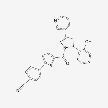 N#Cc1ccc(-c2ccc(C(=O)N3N=C(c4cccnc4)CC3c3ccccc3O)s2)cc1